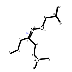 CCC/C(CCN(C)C)=N/OCC(C)C